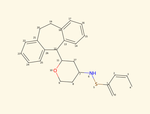 C=C(/C=C\C)SNC1CCOC(C2c3ccccc3CCc3ccccc32)C1